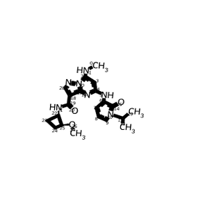 CNc1cc(Nc2cccn(C(C)C)c2=O)nc2c(C(=O)N[C@H]3CC[C@@H]3OC)cnn12